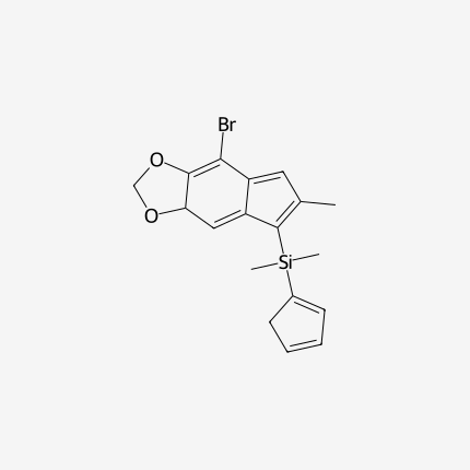 CC1=C([Si](C)(C)C2=CC=CC2)C2=CC3OCOC3=C(Br)C2=C1